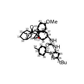 COc1ccc(C2(C(=O)N3C4CCC3CC(Cc3ccc(NC(=O)Nc5cc(C(C)(C)C)nn5-c5ccc(C)cc5)cc3)C4)CC2)cc1